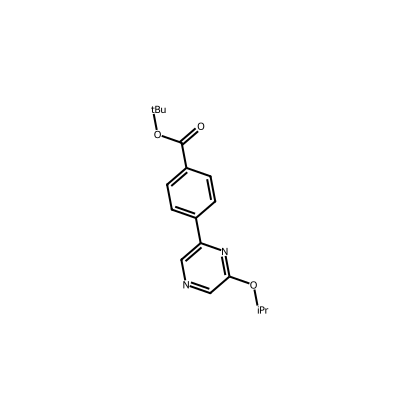 CC(C)Oc1cncc(-c2ccc(C(=O)OC(C)(C)C)cc2)n1